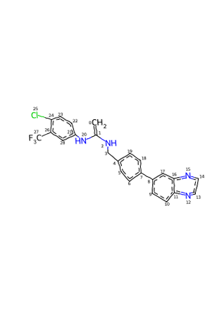 C=C(NCc1ccc(-c2ccc3nccnc3c2)cc1)Nc1ccc(Cl)c(C(F)(F)F)c1